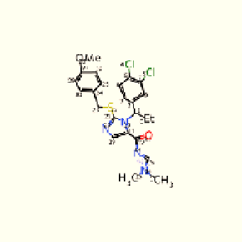 CCC(c1ccc(Cl)c(Cl)c1)n1c(C(=O)/N=C/N(C)C)cnc1SCc1ccc(OC)cc1